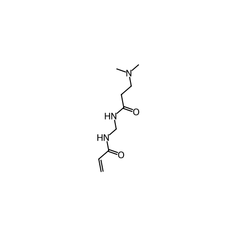 C=CC(=O)NCNC(=O)CCN(C)C